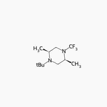 C[C@H]1CN(C(F)(F)F)[C@@H](C)CN1C(C)(C)C